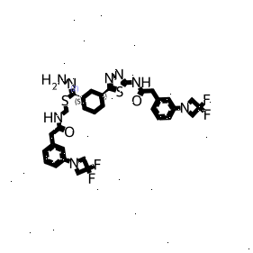 N/N=C(\SCNC(=O)Cc1cccc(N2CC(F)(F)C2)c1)[C@H]1CCC[C@H](c2nnc(NC(=O)Cc3cccc(N4CC(F)(F)C4)c3)s2)C1